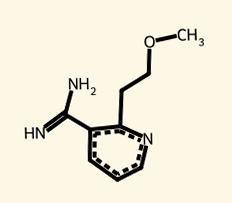 COCCc1ncccc1C(=N)N